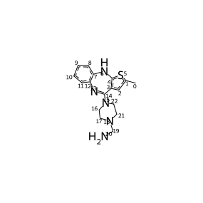 Cc1cc2c(s1)Nc1ccccc1N=C2N1CCN(CN)CC1